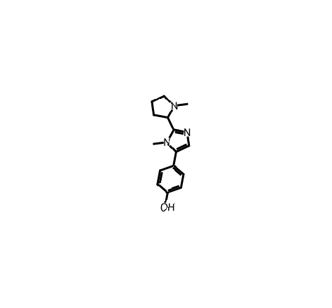 CN1CCCC1c1ncc(-c2ccc(O)cc2)n1C